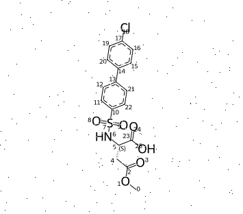 COC(=O)C[C@H](NS(=O)(=O)c1ccc(-c2ccc(Cl)cc2)cc1)C(=O)O